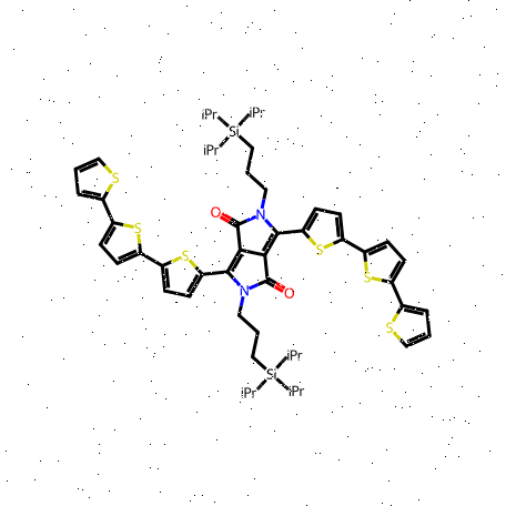 CC(C)[Si](CCCN1C(=O)C2=C(c3ccc(-c4ccc(-c5cccs5)s4)s3)N(CCC[Si](C(C)C)(C(C)C)C(C)C)C(=O)C2=C1c1ccc(-c2ccc(-c3cccs3)s2)s1)(C(C)C)C(C)C